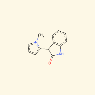 Cn1cccc1C1C(=O)Nc2ccccc21